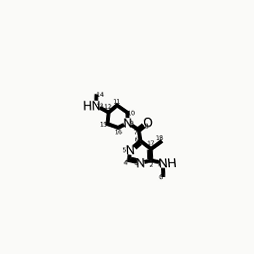 CNc1ncnc(C(=O)N2CCC(NC)CC2)c1C